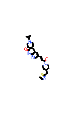 O=C(C=Cc1cnc2c(c1)CC1(CCN(C3CC3)CC1)C(=O)N2)N1CC=C(Cc2nccs2)CC1